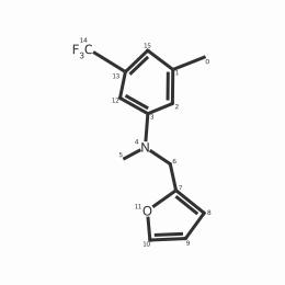 Cc1cc(N(C)Cc2ccco2)cc(C(F)(F)F)c1